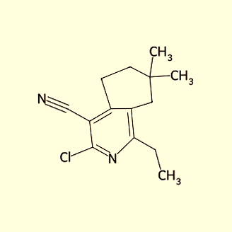 CCc1nc(Cl)c(C#N)c2c1CC(C)(C)CC2